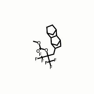 COC(=O)OC(CC1CC2CC1C1C3CCC(C3)C21)(C(F)(F)F)C(F)(F)F